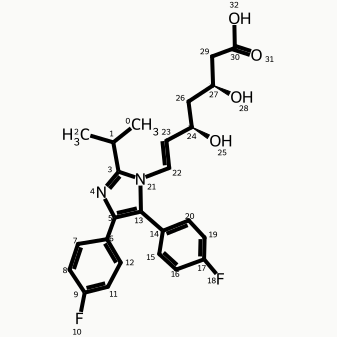 CC(C)c1nc(-c2ccc(F)cc2)c(-c2ccc(F)cc2)n1C=C[C@H](O)C[C@H](O)CC(=O)O